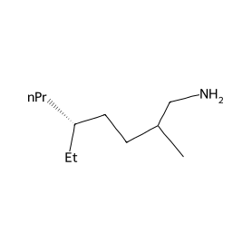 CCC[C@@H](CC)CCC(C)CN